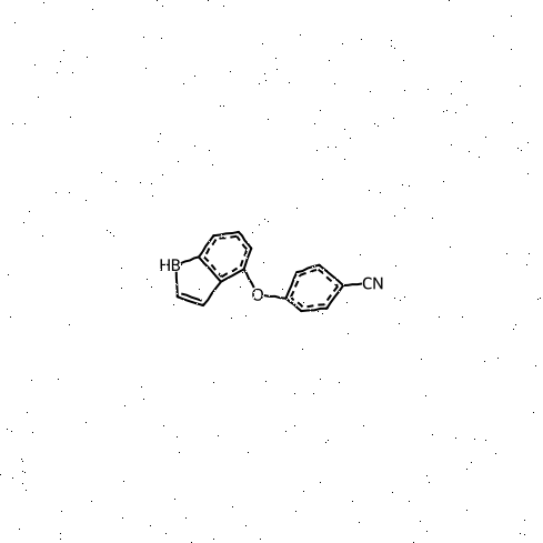 N#Cc1ccc(Oc2cccc3c2C=CB3)cc1